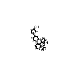 CS(=O)(=O)c1nccc(N2CCC(N3CC[C@H](O)C3)CC2)c1-c1nnn[nH]1